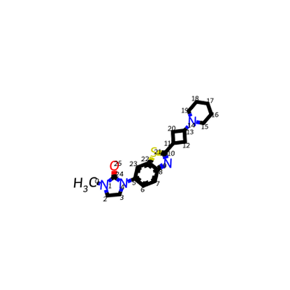 CN1CCN(c2ccc3nc(C4CC(N5CCCCC5)C4)sc3c2)C1=O